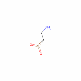 NCC=S(=O)=O